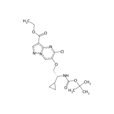 CCOC(=O)c1cnn2cc(OC[C@H](NC(=O)OC(C)(C)C)C3CC3)c(Cl)nc12